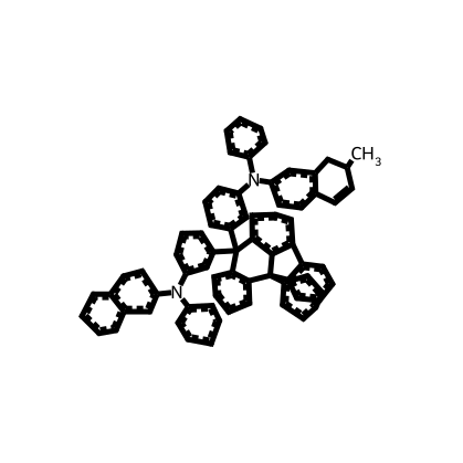 CC1C=Cc2ccc(N(c3ccccc3)c3cccc(C4(c5cccc(N(c6ccccc6)c6ccc7ccccc7c6)c5)c5ccccc5C5(c6ccccc6)c6ccccc6-c6cccc4c65)c3)cc2C1